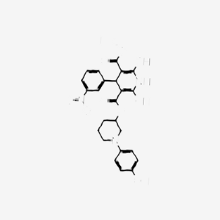 COC(=O)C1=C(C)NC(C)=C(C(=O)OC2CCCN(c3ccc(O)cc3)C2)C1c1cccc([N+](=O)[O-])c1